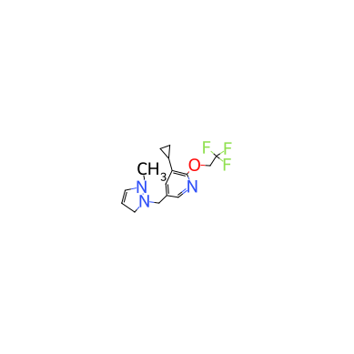 CCN1C=CCN1Cc1cnc(OCC(F)(F)F)c(C2CC2)c1